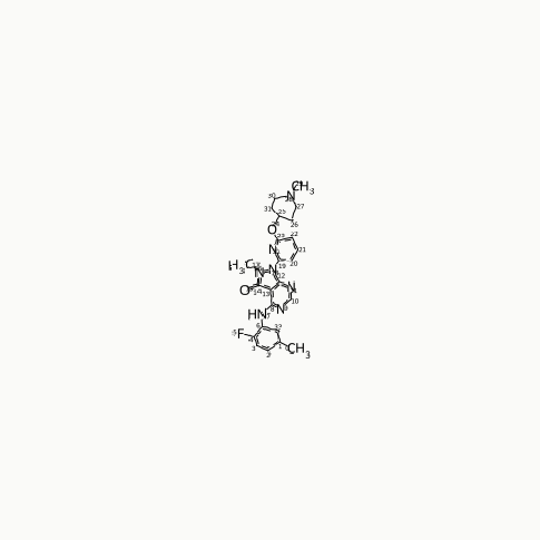 Cc1ccc(F)c(Nc2ncnc3c2c(=O)n(C)n3-c2cccc(OC3CCN(C)CC3)n2)c1